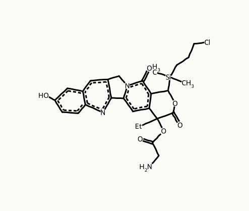 CCC1(OC(=O)CN)C(=O)OC([Si](C)(C)CCCCl)c2c1cc1n(c2=O)Cc2cc3cc(O)ccc3nc2-1